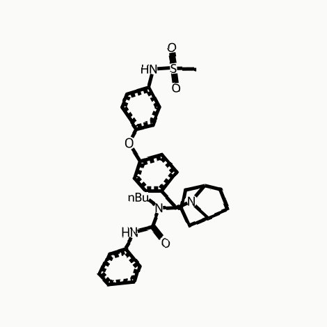 CCCCN(C(=O)Nc1ccccc1)C1CC2CCC(C1)N2Cc1ccc(Oc2ccc(NS(C)(=O)=O)cc2)cc1